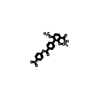 COc1ccc(C(=O)O)c(OC)c1-c1ccc(C(=O)Oc2ccc([N+](=O)[O-])cc2)cc1